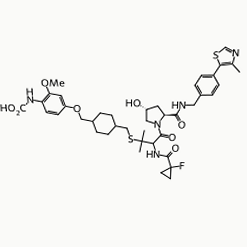 COc1cc(OCC2CCC(CSC(C)(C)C(NC(=O)C3(F)CC3)C(=O)N3C[C@H](O)C[C@H]3C(=O)NCc3ccc(-c4scnc4C)cc3)CC2)ccc1NC(=O)O